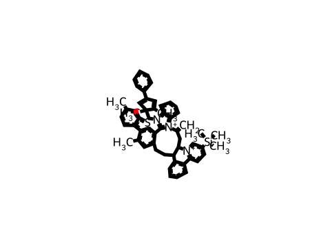 C=C1CC2C(CCc3cc(C)c4c(sc5cc(C)ccc54)c3-c3n(CC4(C)C=C(c5ccccc5)C=C4C)c4ccccc4[n+]31)c1ccccc1-c1ccc([Si](C)(C)C)c[n+]12